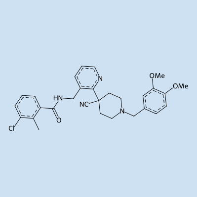 COc1ccc(CN2CCC(C#N)(c3ncccc3CNC(=O)c3cccc(Cl)c3C)CC2)cc1OC